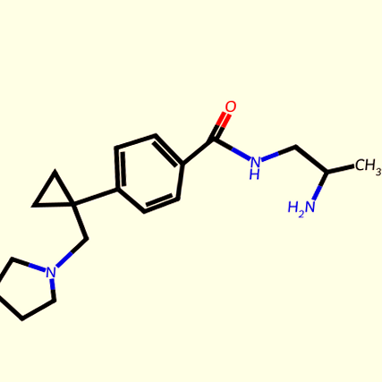 CC(N)CNC(=O)c1ccc(C2(CN3CCCC3)CC2)cc1